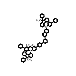 CC1(C)c2cc(-c3ccccc3)ccc2N(c2cccc3c2-c2ccccc2C3(C)c2ccccc2)c2ccc(-c3ccc(-c4cccc(-c5ccc6cc(N(c7ccc(-c8ccccc8)cc7)c7cccc8c7-c7ccccc7C8(C)c7ccccc7)ccc6c5)c4)cc3)cc21